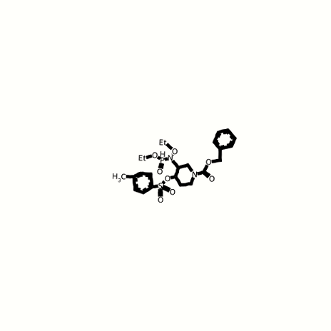 CCON(C1CN(C(=O)OCc2ccccc2)CCC1OS(=O)(=O)c1ccc(C)cc1)[PH](=O)OCC